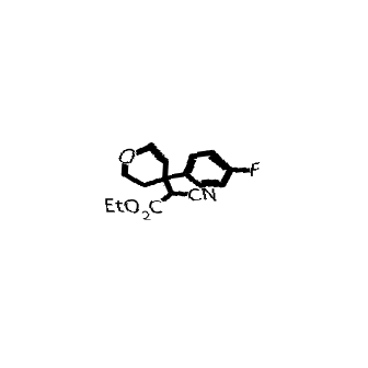 CCOC(=O)C(C#N)C1(c2ccc(F)cc2)CCOCC1